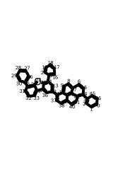 c1ccc(-c2ccc3ccc4c(-c5cc(-c6ccccc6)c6oc7c(-c8ccccc8)cccc7c6c5)ccc5ccc2c3c54)cc1